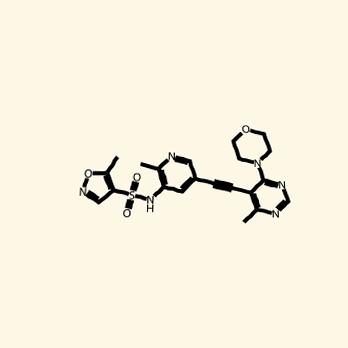 Cc1ncc(C#Cc2c(C)ncnc2N2CCOCC2)cc1NS(=O)(=O)c1cnoc1C